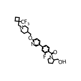 O=C(c1ccc(-c2ccc(OCC3CCN(CC4(C(F)(F)F)CCC4)CC3)nc2)cc1F)N1CCCC1CO